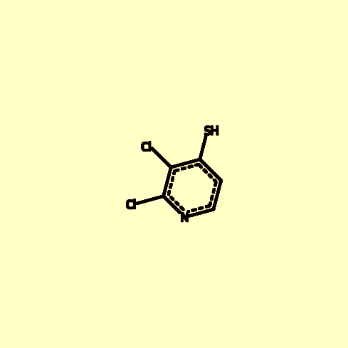 Sc1ccnc(Cl)c1Cl